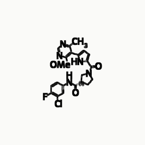 COc1ncnc(C)c1-c1ccc(C(=O)N2CC[C@H](C(=O)Nc3ccc(F)c(Cl)c3)C2)[nH]1